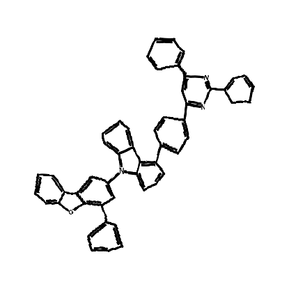 C1=CCCC(c2nc(-c3ccccc3)cc(-c3ccc(-c4cccc5c4c4ccccc4n5-c4cc(-c5ccccc5)c5oc6ccccc6c5c4)cc3)n2)=C1